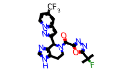 CC(C)(F)c1nnc(C(=O)N2CCc3[nH]cnc3C2c2cc3cc(C(F)(F)F)ccn3n2)o1